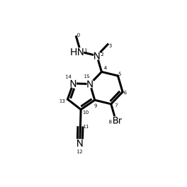 CNN(C)C1CC=C(Br)c2c(C#N)cnn21